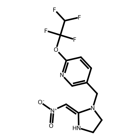 O=[N+]([O-])/C=C1\NCCN1Cc1ccc(OC(F)(F)C(F)F)nc1